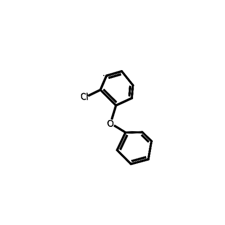 Clc1[c]cccc1Oc1ccccc1